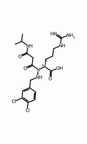 CC(C)NC(=O)CC(=O)N(NCc1ccc(Cl)c(Cl)c1)[C@@H](CCCNC(=N)N)C(=O)O